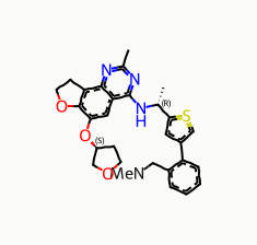 CNCc1ccccc1-c1csc([C@@H](C)Nc2nc(C)nc3c4c(c(O[C@H]5CCOC5)cc23)OCC4)c1